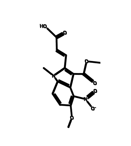 COC(=O)c1c(C=CC(=O)O)n(C)c2ccc(OC)c([N+](=O)[O-])c12